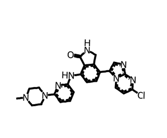 CN1CCN(c2cccc(Nc3ccc(-c4cnc5nc(Cl)ccn45)c4c3C(=O)NC4)n2)CC1